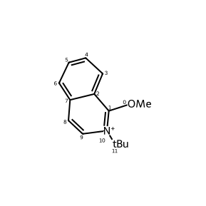 COc1c2ccccc2cc[n+]1C(C)(C)C